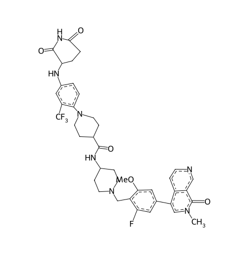 COc1cc(-c2cn(C)c(=O)c3cnccc23)cc(F)c1CN1CCC(NC(=O)C2CCN(c3ccc(NC4CCC(=O)NC4=O)cc3C(F)(F)F)CC2)CC1